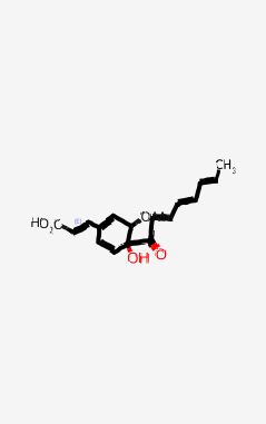 CC=CC=CC=CC(=O)C1(O)C=CC(/C=C/C(=O)O)=CC1OC